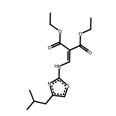 CCOC(=O)C(=CNc1nc(CC(C)C)cs1)C(=O)OCC